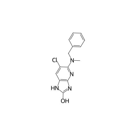 CN(Cc1ccccc1)c1nc2nc(O)[nH]c2cc1Cl